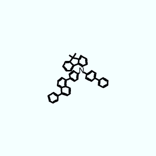 CC1(C)c2ccccc2-c2c(N(c3ccc(-c4ccccc4)cc3)c3ccc(-c4cccc5c(-c6ccccc6)cccc45)cc3)cccc21